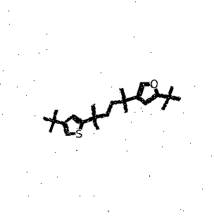 CC(C)(C)c1csc(C(C)(C)CCC(C)(C)c2coc(C(C)(C)C)c2)c1